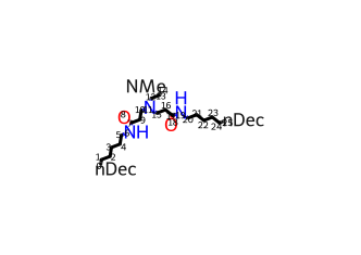 CCCCCCCCCCCCCCCNC(=O)CCN(CCNC)CCC(=O)NCCCCCCCCCCCCCCC